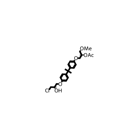 COC[C@H](COc1ccc(C(C)(C)c2ccc(OC[C@@H](O)CCl)cc2)cc1)OC(C)=O